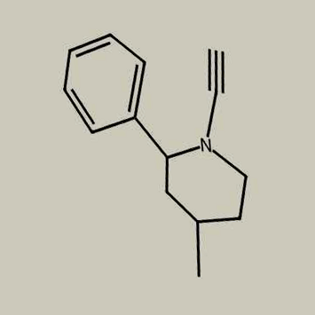 C#CN1CCC(C)CC1c1ccccc1